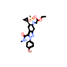 CCOC(=O)CN(c1cc2nn(-c3ccc(Br)cc3)c(C(=O)NC)c2cc1C1CC1)S(C)(=O)=O